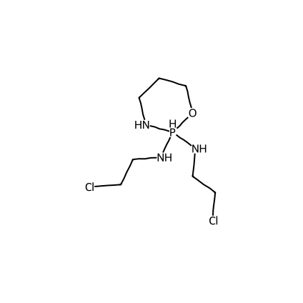 ClCCN[PH]1(NCCCl)NCCCO1